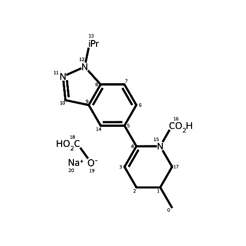 CC1CC=C(c2ccc3c(cnn3C(C)C)c2)N(C(=O)O)C1.O=C([O-])O.[Na+]